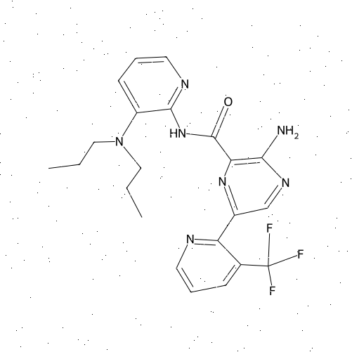 CCCN(CCC)c1cccnc1NC(=O)c1nc(-c2ncccc2C(F)(F)F)cnc1N